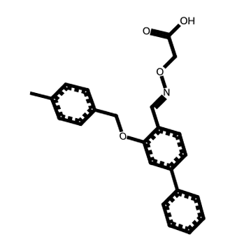 Cc1ccc(COc2cc(-c3ccccc3)ccc2/C=N/OCC(=O)O)cc1